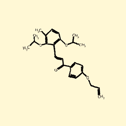 C=CCOc1ccc(C(=O)C=Cc2c(OC(C)C)ccc(C)c2OC(C)C)cc1